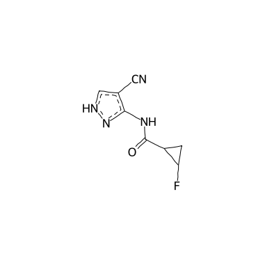 N#Cc1c[nH]nc1NC(=O)C1CC1F